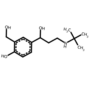 CC(C)(C)NCCC(O)c1ccc(O)c(CO)c1